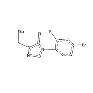 CC(C)(C)Cn1ncn(-c2ccc(Br)cc2F)c1=O